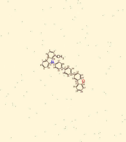 Cc1cccc2c3ccccc3n(-c3ccc(-c4ccc(-c5ccc6oc7ccccc7c6c5)cc4)cc3)c12